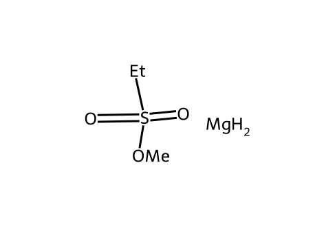 CCS(=O)(=O)OC.[MgH2]